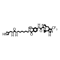 O=C(NCCCCCCNC(=O)c1ccc(NC(=O)c2ncc(Cc3c(C(F)(F)F)n[nH]c3C3CC3)[nH]2)cc1Cl)NCC1CNC1